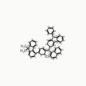 CC1CC(c2cccc3c2-c2ccccc2C3(C)C)=CC=C1N(c1cccc2ccccc12)C1C=c2c(n(-c3ccccc3)c3ccccc23)=CC1